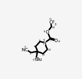 CC(C)(C)C1(CC#N)CCN(C(=O)OCC(F)(F)F)CC1